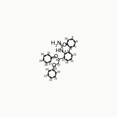 NC(=O)Nc1c(-c2ccccc2)cccc1C(COc1ccccc1)Oc1ccccc1